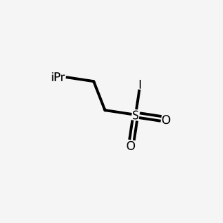 CC(C)CCS(=O)(=O)I